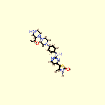 CC(=O)C1CNCCN1N1CCN(c2ccc(Nc3nccc(-c4sc(=O)n(C)c4C)n3)cc2)CC1